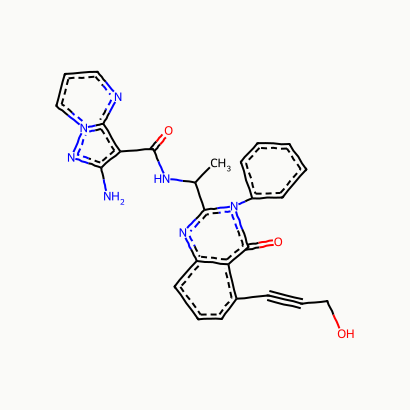 CC(NC(=O)c1c(N)nn2cccnc12)c1nc2cccc(C#CCO)c2c(=O)n1-c1ccccc1